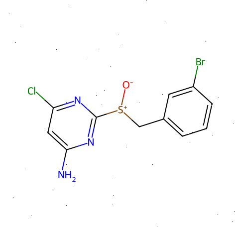 Nc1cc(Cl)nc([S+]([O-])Cc2cccc(Br)c2)n1